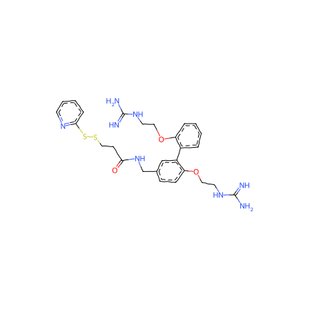 N=C(N)NCCOc1ccccc1-c1cc(CNC(=O)CCSSc2ccccn2)ccc1OCCNC(=N)N